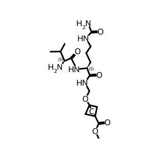 COC(=O)C12CC(OCNC(=O)[C@H](CCCNC(N)=O)NC(=O)[C@@H](N)C(C)C)(C1)C2